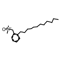 CCCCCCCCCCCCc1ccccc1C[N+](C)(C)[O-]